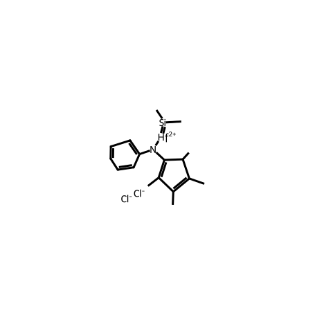 CC1=C(C)C(C)C([N]([Hf+2]=[Si](C)C)c2ccccc2)=C1C.[Cl-].[Cl-]